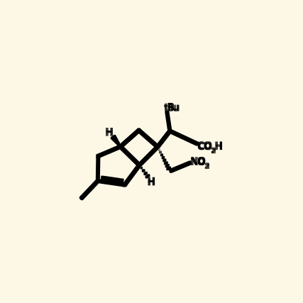 CC1=C[C@H]2[C@H](C1)C[C@@]2(C[N+](=O)[O-])C(C(=O)O)C(C)(C)C